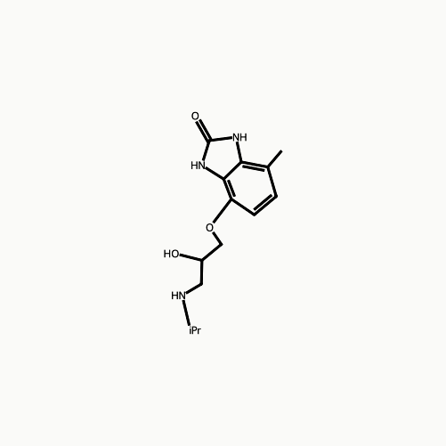 Cc1ccc(OCC(O)CNC(C)C)c2[nH]c(=O)[nH]c12